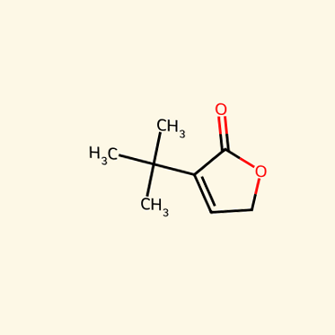 CC(C)(C)C1=CCOC1=O